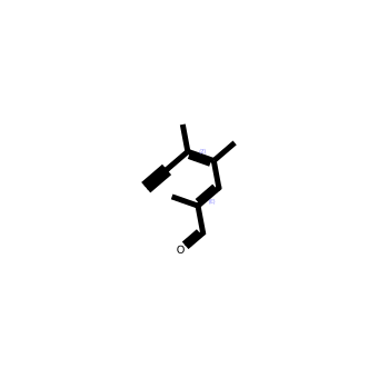 C#C/C(C)=C(C)\C=C(/C)C=O